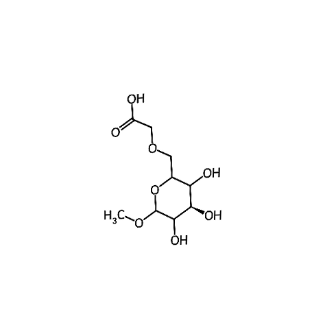 COC1OC(COCC(=O)O)C(O)[C@@H](O)C1O